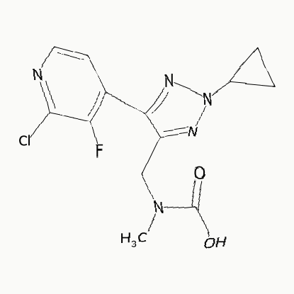 CN(Cc1nn(C2CC2)nc1-c1ccnc(Cl)c1F)C(=O)O